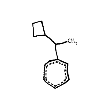 CC([C]1CCC1)c1ccccc1